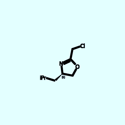 CC(C)C[C@H]1COC(CCl)=N1